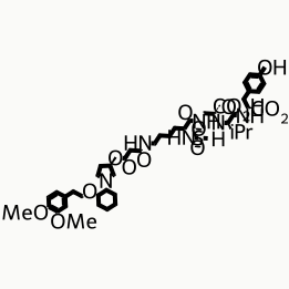 COc1ccc(CCO[C@@H]2CCCC[C@H]2N2CC[C@@H](OC(=O)CC(=O)NCCCCC(NS(C)(=O)=O)C(=O)NC[C@@H](N[C@@H](C(=O)N[C@H](Cc3ccc(O)cc3)C(=O)O)C(C)C)C(=O)O)C2)cc1OC